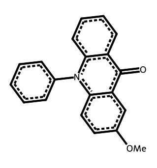 COc1ccc2c(c1)c(=O)c1ccccc1n2-c1ccccc1